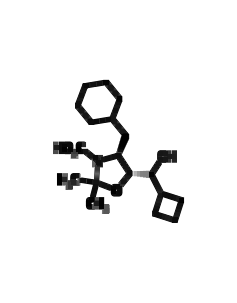 CC1(C)O[C@@H](C(O)C2CCC2)[C@H](CC2CCCCC2)N1C(=O)O